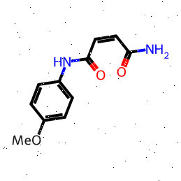 COc1ccc(NC(=O)/C=C\C(N)=O)cc1